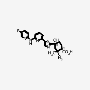 CC1(C)C[C@@](O)(c2ncc(-c3cccc(Nc4ccc(F)cn4)n3)s2)CC[C@@H]1C(=O)O